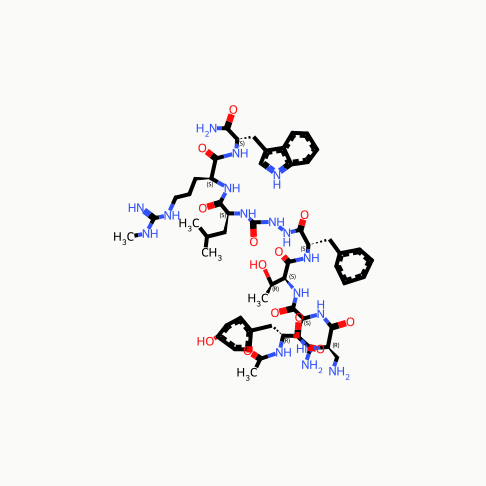 CNC(=N)NCCC[C@H](NC(=O)[C@H](CC(C)C)NC(=O)NNC(=O)[C@H](Cc1ccccc1)NC(=O)[C@@H](NC(=O)[C@H](CC(N)=O)NC(=O)[C@@H](CN)NC(=O)[C@@H](Cc1ccc(O)cc1)NC(C)=O)[C@@H](C)O)C(=O)N[C@@H](Cc1c[nH]c2ccccc12)C(N)=O